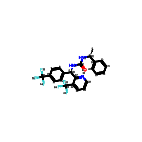 C[C@@H](NC(=O)N[C@@H](c1ccc(C(F)(F)F)cc1)c1ncccc1C(F)(F)F)c1ccccc1